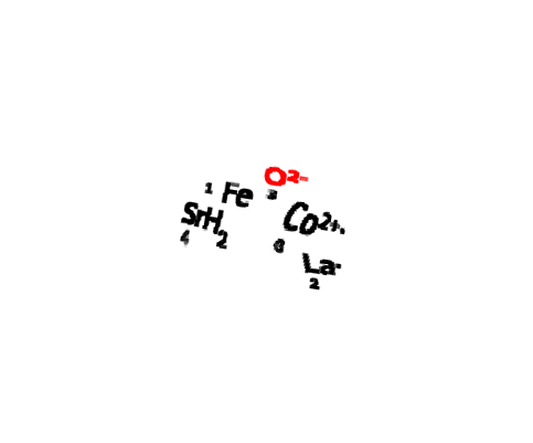 [Co+2].[Fe].[La].[O-2].[SrH2]